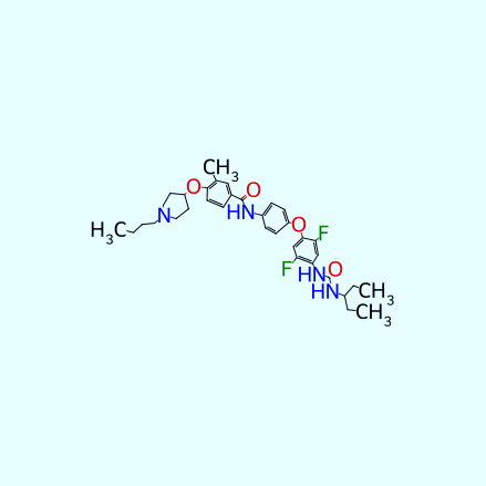 CCCCN1CCC(Oc2ccc(C(=O)Nc3ccc(Oc4cc(F)c(NC(=O)NC(CC)CC)cc4F)cc3)cc2C)CC1